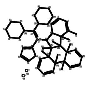 CC1=CC=CC2[CH]([Zr+2]([C]3=CC=CC3)=[C](C3CCCCC3)C3CCCCC3)C3(C)C4(C)C=CC=CC4(C)C4(C)C=CC=CC4(C)C3(C)C12C.[Cl-].[Cl-]